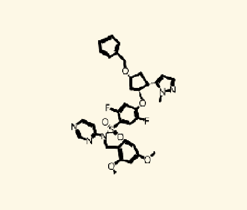 COc1ccc(CN(c2ccncn2)S(=O)(=O)c2cc(F)c(O[C@H]3C[C@@H](OCc4ccccc4)C[C@@H]3c3ccnn3C)cc2F)c(OC)c1